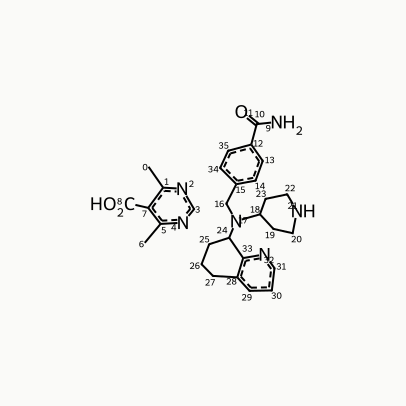 Cc1ncnc(C)c1C(=O)O.NC(=O)c1ccc(CN(C2CCNCC2)C2CCCc3cccnc32)cc1